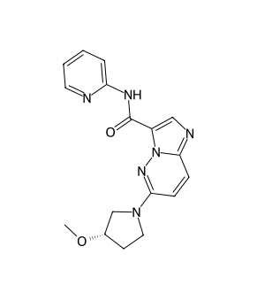 CO[C@H]1CCN(c2ccc3ncc(C(=O)Nc4ccccn4)n3n2)C1